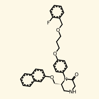 O=C1CNC[C@H](COc2ccc3ccccc3c2)N1c1ccc(OCCCOCc2ccccc2F)cc1